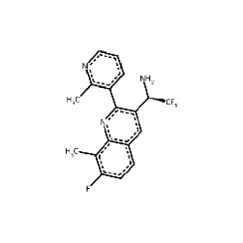 Cc1ncccc1-c1nc2c(C)c(F)ccc2cc1[C@@H](N)C(F)(F)F